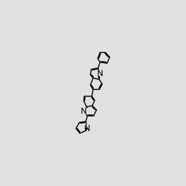 c1ccc(-c2ccc3cc(-c4ccc5nc(-c6ccccn6)ccc5c4)ccc3n2)cc1